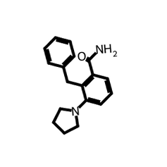 NC(=O)c1cccc(N2CCCC2)c1Cc1ccccc1